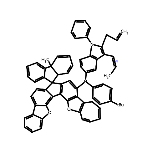 C=CCc1c(/C=C\C)c2cc(N(c3ccc(C(C)(C)C)cc3)c3cc4c(c5oc6c(c35)CC=CC=C6)-c3c(ccc5c3oc3ccccc35)C43c4ccccc4C4(C)C=CC=CC43)ccc2n1-c1ccccc1